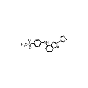 CS(=O)(=O)c1ccc(Nc2nccc3[nH]c(-c4ccsc4)cc23)cc1